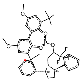 COc1cc(C(C)(C)C)c2op(OC(CP3[C@@H](c4ccccc4)CC[C@@H]3c3ccccc3)C(F)(F)F)oc3c(C(C)(C)C)cc(OC)cc3c2c1